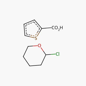 ClC1CCCCO1.O=C(O)c1cccs1